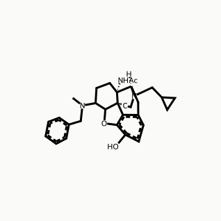 CC(=O)N[C@@]12CCC(N(C)Cc3ccccc3)C3Oc4c(O)ccc5c4[C@@]31CCN(CC1CC1)[C@@H]2C5